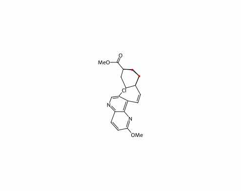 COC(=O)C12CCC(/C=C\c3c(Cl)cnc4ccc(OC)nc34)(CC1)CC2